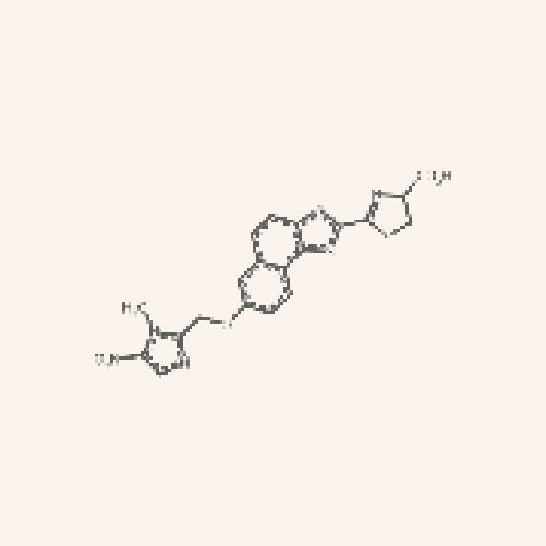 Cn1c([N+](=O)[O-])cnc1COc1ccc2c(ccc3nc(C4=NC(C(=O)O)CS4)sc32)c1